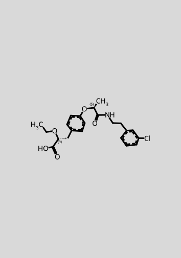 CCO[C@H](Cc1ccc(O[C@@H](C)C(=O)NCCc2cccc(Cl)c2)cc1)C(=O)O